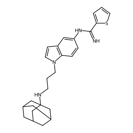 N=C(Nc1ccc2c(ccn2CCCNC23CC4CC(CC(C4)C2)C3)c1)c1cccs1